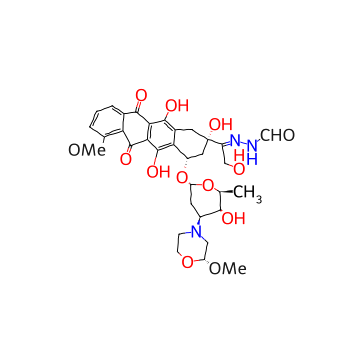 COc1cccc2c1C(=O)c1c(O)c3c(c(O)c1C2=O)C[C@@](O)(/C(CO)=N/NC=O)C[C@@H]3O[C@H]1C[C@H](N2CCO[C@@H](OC)C2)[C@H](O)[C@H](C)O1